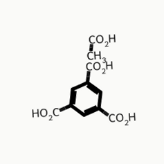 CC(=O)O.O=C(O)c1cc(C(=O)O)cc(C(=O)O)c1